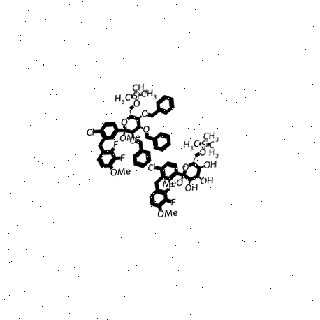 COc1ccc(Cc2cc([C@]3(OC)O[C@H](CO[Si](C)(C)C)[C@@H](O)[C@H](O)[C@H]3O)ccc2Cl)c(F)c1F.COc1ccc(Cc2cc([C@]3(OC)O[C@H](CO[Si](C)(C)C)[C@@H](OCc4ccccc4)[C@H](OCc4ccccc4)[C@H]3OCc3ccccc3)ccc2Cl)c(F)c1F